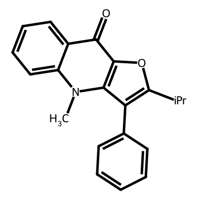 CC(C)c1oc2c(=O)c3ccccc3n(C)c2c1-c1ccccc1